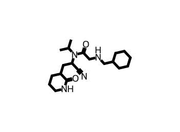 CC(C)N(C(=O)CNCC1CCCCC1)C(C#N)CC1CCCNC1=O